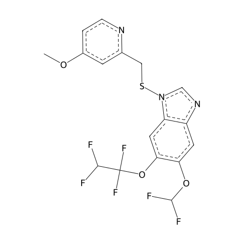 COc1ccnc(CSn2cnc3cc(OC(F)F)c(OC(F)(F)C(F)F)cc32)c1